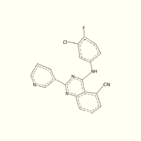 N#Cc1cccc2nc(-c3cccnc3)nc(Nc3ccc(F)c(Cl)c3)c12